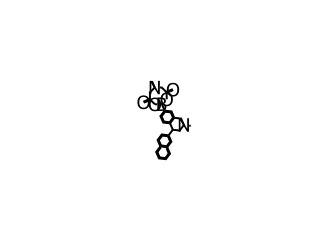 CN1CC(=O)OB(c2ccc3c(c2)CN(C)CC3c2ccc3ccccc3c2)OC(=O)C1